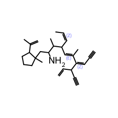 C#C/C=C(\C(C)=C\C(/C=C\C)C(C)C(N)CC1(C)CCCC1C(=C)C)C(C#C)C=C